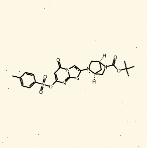 Cc1ccc(S(=O)(=O)Oc2cc(=O)n3cc(N4C[C@@H]5C[C@H]4CN5C(=O)OC(C)(C)C)sc3n2)cc1